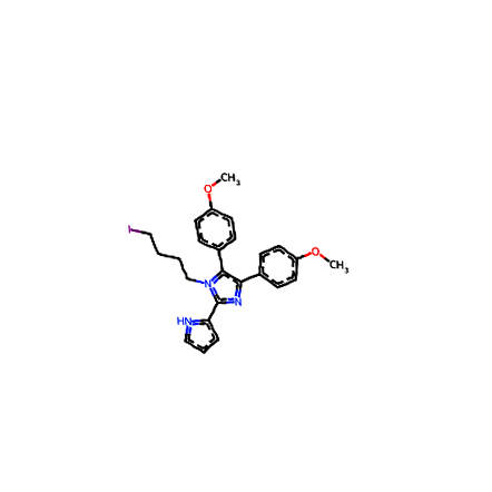 COc1ccc(-c2nc(-c3ccc[nH]3)n(CCCCI)c2-c2ccc(OC)cc2)cc1